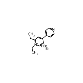 Br.CCc1cc(-c2ccncc2)cc[n+]1CC.[Br-]